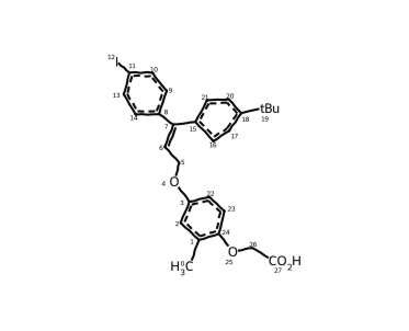 Cc1cc(OCC=C(c2ccc(I)cc2)c2ccc(C(C)(C)C)cc2)ccc1OCC(=O)O